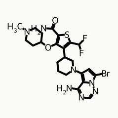 CN1CCC(Oc2c(C(N)=O)sc(C(F)F)c2C2CCCN(c3cc(Br)n4ncnc(N)c34)C2)CC1